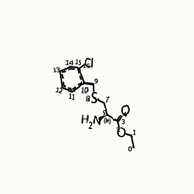 CCOC(=O)[C@@H](N)CSCc1ccccc1Cl